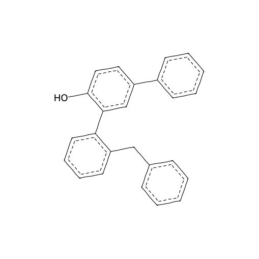 Oc1ccc(-c2ccccc2)cc1-c1ccccc1Cc1ccccc1